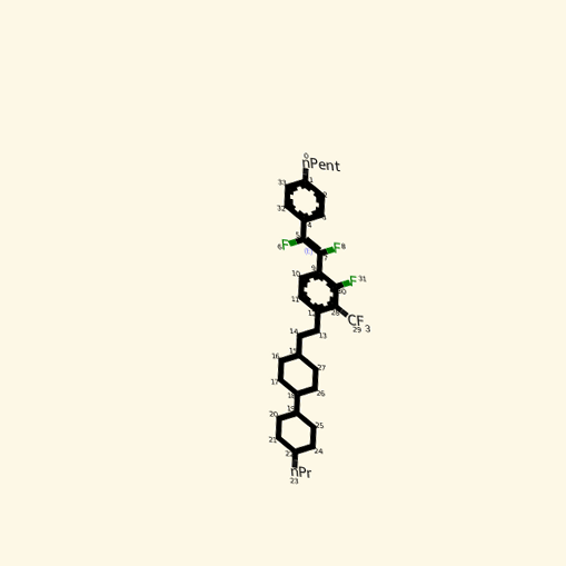 CCCCCc1ccc(/C(F)=C(\F)c2ccc(CCC3CCC(C4CCC(CCC)CC4)CC3)c(C(F)(F)F)c2F)cc1